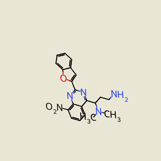 CN(C)C(CCN)c1nc(-c2cc3ccccc3o2)nc2c([N+](=O)[O-])cccc12